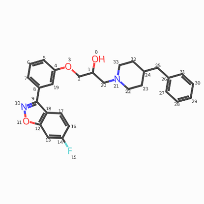 OC(COc1cccc(-c2noc3cc(F)ccc23)c1)CN1CCC(Cc2ccccc2)CC1